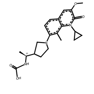 COc1cc2ccc(N3CCC([C@H](C)NC(=O)O)C3)c(C)c2n(C2CC2)c1=O